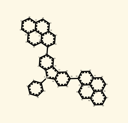 c1ccc(-n2c3ccc(-c4ccc5ccc6cccc7ccc4c5c67)cc3c3cc(-c4ccc5ccc6cccc7ccc4c5c67)ccc32)cc1